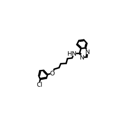 Clc1cccc(OCCCCCCNc2ncnc3ccccc23)c1